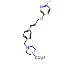 O=C(O)N1CCN(Cc2ccc(C=CCOc3ccc(Cl)nc3)cc2)CC1